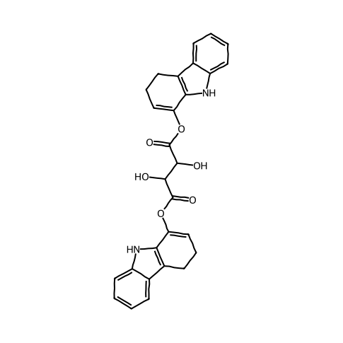 O=C(OC1=CCCc2c1[nH]c1ccccc21)C(O)C(O)C(=O)OC1=CCCc2c1[nH]c1ccccc21